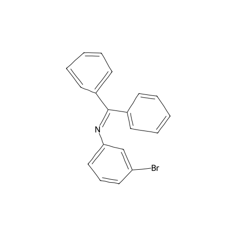 Brc1cccc(N=C(c2ccccc2)c2ccccc2)c1